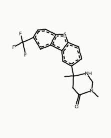 CN1CNC(C)(c2ccc3sc4ccc(C(F)(F)F)cc4c3c2)CC1=O